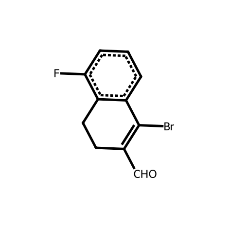 O=CC1=C(Br)c2cccc(F)c2CC1